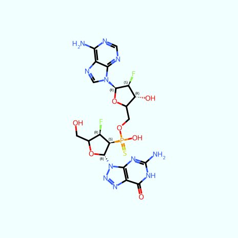 Nc1nc2c(nnn2[C@@H]2OC(CO)[C@@H](F)[C@H]2P(O)(=S)OCC2O[C@@H](n3cnc4c(N)ncnc43)[C@@H](F)[C@@H]2O)c(=O)[nH]1